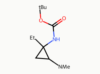 CCC1(NC(=O)OC(C)(C)C)CC1NC